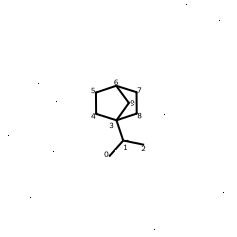 C[C](C)C12CCC(CC1)C2